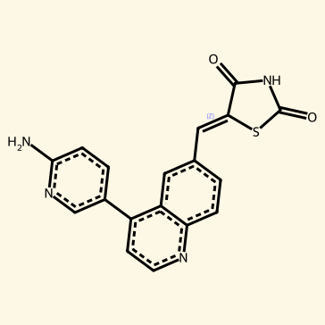 Nc1ccc(-c2ccnc3ccc(/C=C4\SC(=O)NC4=O)cc23)cn1